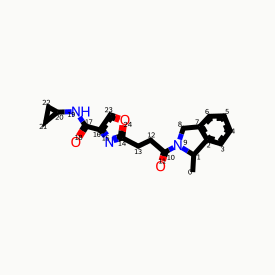 CC1c2ccccc2CN1C(=O)CCc1nc(C(=O)NC2CC2)co1